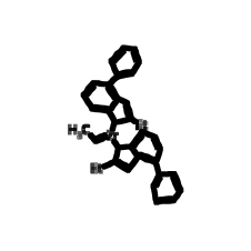 C[CH]=[Zr]([CH]1C(CC)=Cc2c(-c3ccccc3)cccc21)[CH]1C(CC)=Cc2c(-c3ccccc3)cccc21